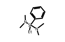 CC[Si](c1ccccc1)(N(C)C)N(C)C